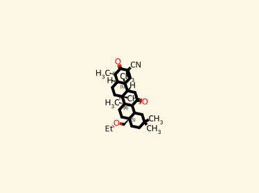 CCOC[C@]12CCC(C)(C)CC1C1C(=O)C[C@@H]3[C@@]4(C)C=C(C#N)C(=O)[C@@H](C)[C@@H]4CC[C@@]3(C)[C@]1(C)CC2